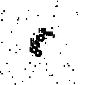 N=C(N)c1ccc(/N=N/c2c(N)ncc3ccccc23)nc1